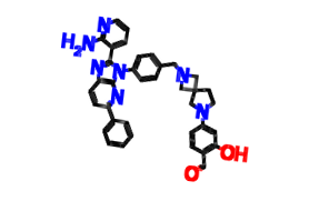 Nc1ncccc1-c1nc2ccc(-c3ccccc3)nc2n1-c1ccc(CN2CC3(CCN(c4ccc(C=O)c(O)c4)C3)C2)cc1